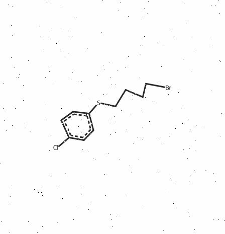 Clc1ccc(SCCCCBr)cc1